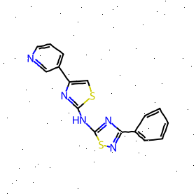 c1ccc(-c2nsc(Nc3nc(-c4cccnc4)cs3)n2)cc1